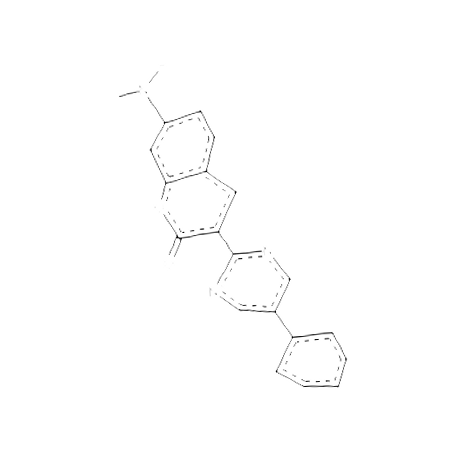 CCN(CC)c1ccc2cc(-c3ncc(-c4ccccc4)cn3)c(=O)oc2c1